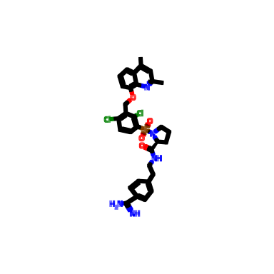 Cc1cc(C)c2cccc(OCc3c(Cl)ccc(S(=O)(=O)N4CCC[C@H]4C(=O)NCCc4ccc(C(=N)N)cc4)c3Cl)c2n1